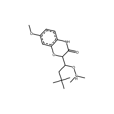 COc1ccc2c(c1)OC(C(CC(C)(C)C)O[SiH](C)C)C(=O)N2